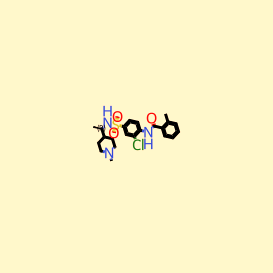 Cc1ccccc1C(=O)Nc1ccc(S(=O)(=O)N[C@H](C)C2CCN(C)CC2)cc1Cl